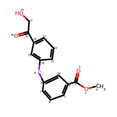 COC(=O)c1cccc([I+]c2cccc(C(=O)CO)c2)c1